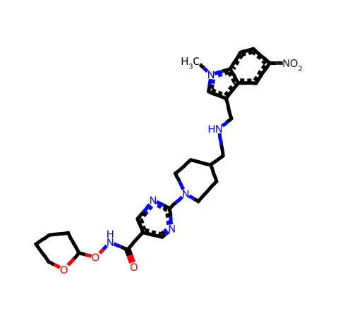 Cn1cc(CNCC2CCN(c3ncc(C(=O)NOC4CCCCO4)cn3)CC2)c2cc([N+](=O)[O-])ccc21